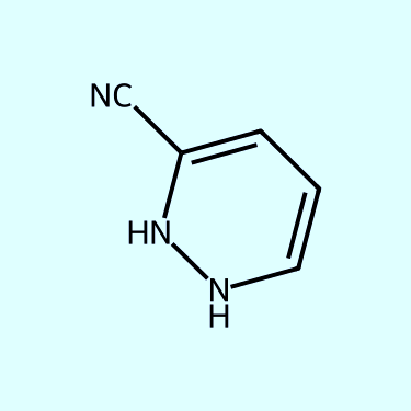 N#CC1=CC=CNN1